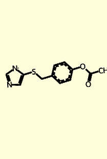 CC(=O)Oc1ccc(CSC2=CN=C[N]2)cc1